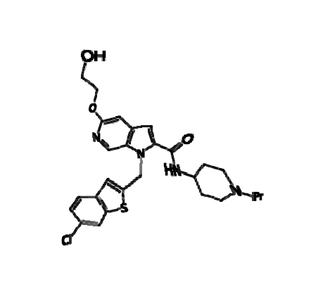 CC(C)N1CCC(NC(=O)c2cc3cc(OCCO)ncc3n2Cc2cc3ccc(Cl)cc3s2)CC1